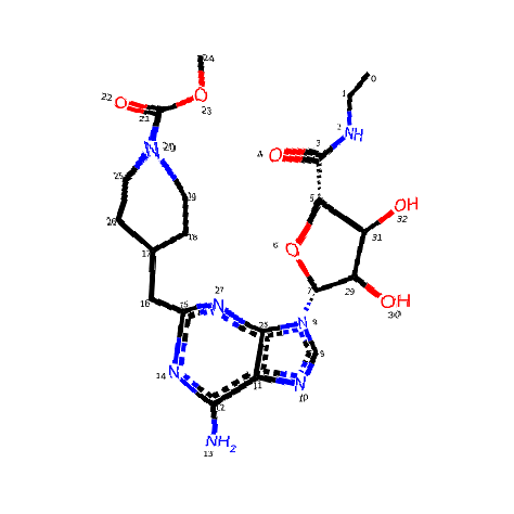 CCNC(=O)[C@H]1O[C@@H](n2cnc3c(N)nc(CC4CCN(C(=O)OC)CC4)nc32)C(O)C1O